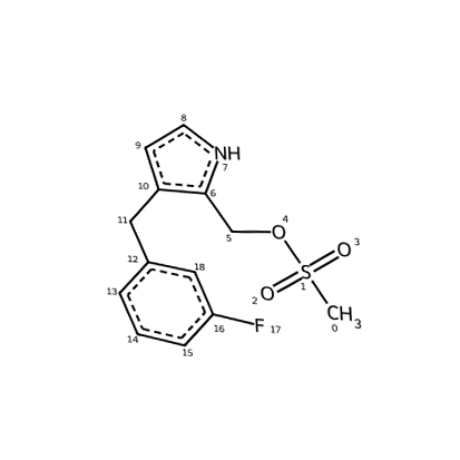 CS(=O)(=O)OCc1[nH]ccc1Cc1cccc(F)c1